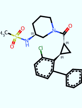 CS(=O)(=O)N[C@H]1CCCN(C(=O)[C@@H]2C[C@H]2c2c(Cl)cccc2-c2ccccc2)C1